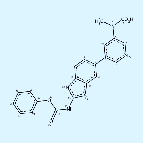 CN(C(=O)O)c1cncc(-c2ccc3nc(NC(=O)Oc4ccccc4)sc3c2)c1